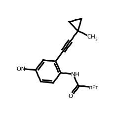 CCCC(=O)Nc1ccc(N=O)cc1C#CC1(C)CC1